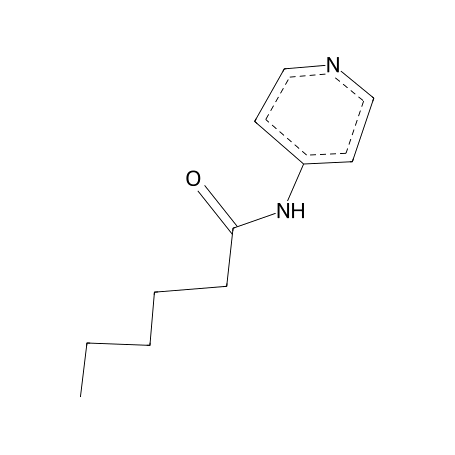 CCCCCC(=O)Nc1ccncc1